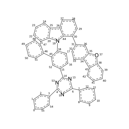 c1ccc(-c2nc(-c3ccccc3)nc(-c3ccc(-n4c5ccccc5c5cccc(-c6ccc7c(c6)oc6ccccc67)c54)c(-c4ccccc4)c3)n2)cc1